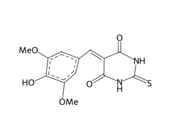 COc1cc(C=C2C(=O)NC(=S)NC2=O)cc(OC)c1O